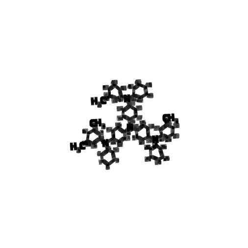 CC1=CC(N(c2ccccc2)c2ccc(N(c3ccc(N(c4ccccc4)c4cccc(C)c4)cc3)c3ccc(N(c4ccccc4)c4cccc(C)c4)cc3)cc2)=CC(C)C1